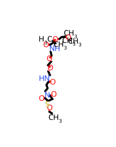 CCCOSC1CC(=O)N(CCCC(=O)NCCOCCOCCNC(=O)C(C)(C)OCCC(C)(C)OC)C1=O